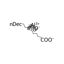 CC(C)[O-].CC(C)[O-].CCCCCCCCCCCCCCCCCCCC(=O)[O-].[Al+3]